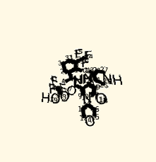 Cc1c(C(C)NC(=O)c2cn(C3CCOCC3)c(=O)cc2NC2(C)CCNCC2)cccc1C(F)(F)F.O=C(O)C(F)(F)F